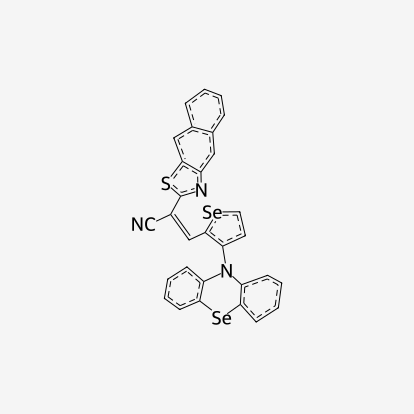 N#CC(=Cc1[se]ccc1N1c2ccccc2[Se]c2ccccc21)c1nc2cc3ccccc3cc2s1